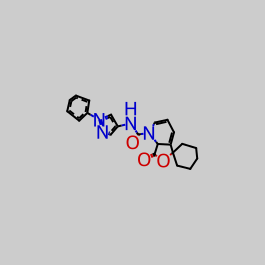 O=C1OC2(CCCCC2)C2=CC=CN(C(=O)Nc3cnn(-c4ccccc4)c3)C12